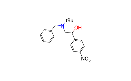 CC(C)(C)N(Cc1ccccc1)CC(O)c1ccc([N+](=O)[O-])cc1